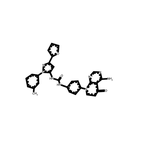 Cc1cccc(-n2nc(-c3ccco3)cc2NC(=O)Nc2ccc(-n3ccc(=O)c4c(N)ncnc43)cc2)c1